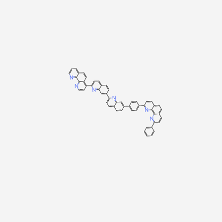 c1ccc(-c2ccc3ccc4ccc(-c5ccc(-c6ccc7ccc(-c8ccc9ccc(-c%10ccnc%11c%10ccc%10cccnc%10%11)nc9c8)nc7c6)cc5)nc4c3n2)cc1